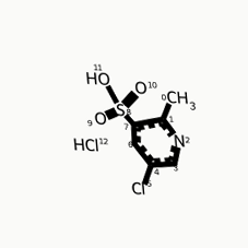 Cc1ncc(Cl)cc1S(=O)(=O)O.Cl